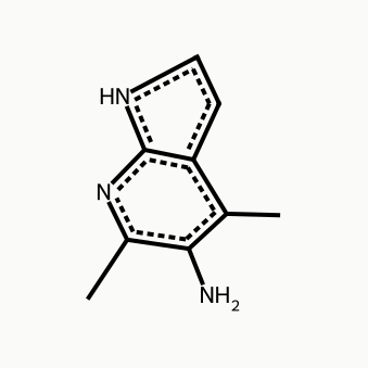 Cc1nc2[nH]ccc2c(C)c1N